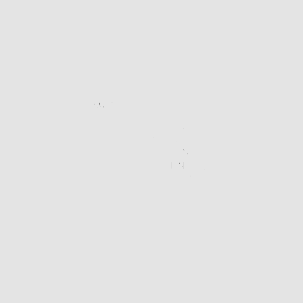 COc1ccccc1-c1cc(F)ccc1OCC(=O)N(NC(=O)c1ccccc1)C(C)C